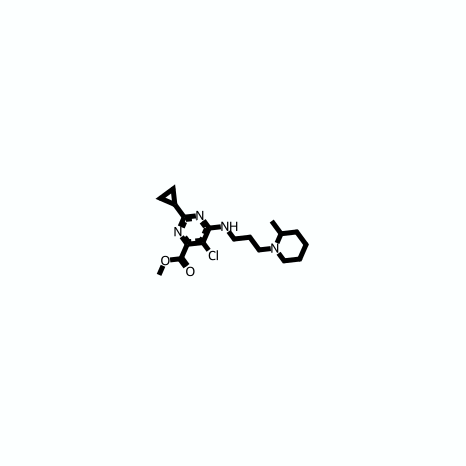 COC(=O)c1nc(C2CC2)nc(NCCCN2CCCCC2C)c1Cl